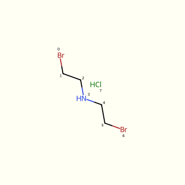 BrCCNCCBr.Cl